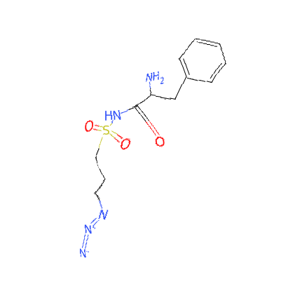 [N-]=[N+]=NCCCS(=O)(=O)NC(=O)C(N)Cc1ccccc1